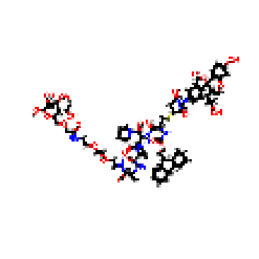 CO[C@@H]1OC(COCC(=O)NCCOCCOCCNC(=O)C(C)NC(=O)C(C)NC(=O)[C@@H]2CCCN2C(=O)[C@H](NC(=O)C(CSC2CC(=O)N(c3ccc4c(c3)C(=O)OC43c4ccc(O)cc4Oc4cc(O)ccc43)C2=O)NC(=O)OCC2c3ccccc3-c3ccccc32)C(C)C)[C@@H](C(C)O)C(O)C1O